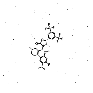 COc1cc(F)c(C(C)C)cc1C1=C(CN2C(=O)O[C@H](c3cc(C(F)(F)F)cc(C(F)(F)F)c3)[C@@H]2C)CC(C)CC1